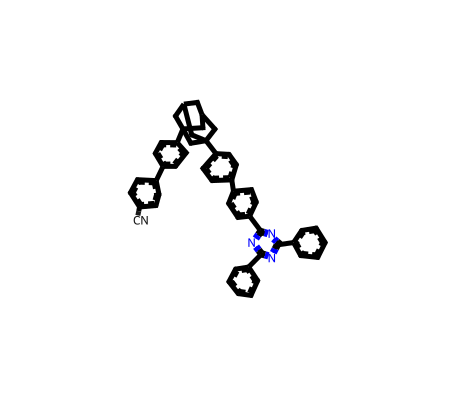 N#Cc1ccc(-c2ccc(C34CC5CC(C3)CC(c3ccc(-c6ccc(-c7nc(-c8ccccc8)nc(-c8ccccc8)n7)cc6)cc3)(C5)C4)cc2)cc1